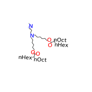 CCCCCCCCC(CCCCCC)C(=O)OCCCCCCN(CC/C=N/C)CCCCCCOC(=O)C(CCCCCC)CCCCCCCC